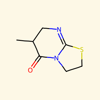 CC1CN=C2SCCN2C1=O